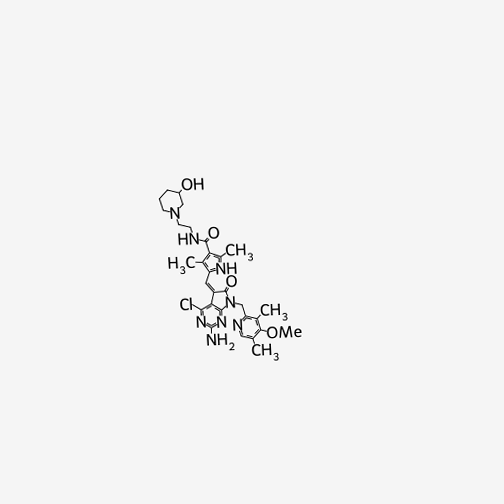 COc1c(C)cnc(CN2C(=O)/C(=C\c3[nH]c(C)c(C(=O)NCCN4CCCC(O)C4)c3C)c3c(Cl)nc(N)nc32)c1C